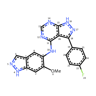 COc1cc2[nH]ncc2cc1Nc1ncnc2[nH]nc(-c3ccc(F)cc3)c12